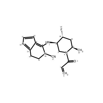 C=CC(=O)N1C[C@@H](NC2=C3C=CN=C3CCN2C#N)[C@H](F)C[C@H]1C